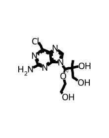 CC(O)(CO)[C@@H](OCCO)n1cnc2c(Cl)nc(N)nc21